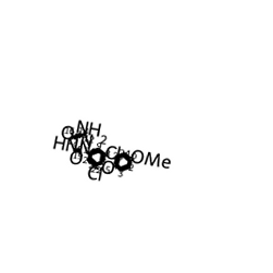 COc1ccc(Oc2c(Cl)cc(-n3nc(N)c(=O)[nH]c3=O)cc2Cl)cc1